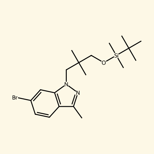 Cc1nn(CC(C)(C)CO[Si](C)(C)C(C)(C)C)c2cc(Br)ccc12